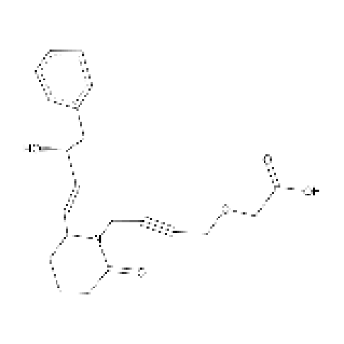 O=C(O)COCC#CCN1C(=O)CCCC1/C=C/[C@H](O)Cc1ccccc1